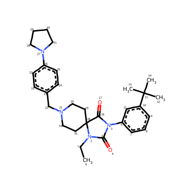 CCN1C(=O)N(c2cccc(C(C)(C)C)c2)C(=O)C12CCN(Cc1ccc(N3CCCC3)cc1)CC2